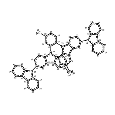 Cc1ccc2c(c1)c1cc(-n3c4ccccc4c4ccccc43)ccc1n2-c1ccc(C#N)cc1-n1c2ccc(C)cc2c2cc(-n3c4ccccc4c4ccccc43)ccc21